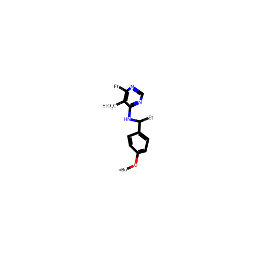 CCCCOc1ccc(C(CC)Nc2ncnc(CC)c2C(=O)OCC)cc1